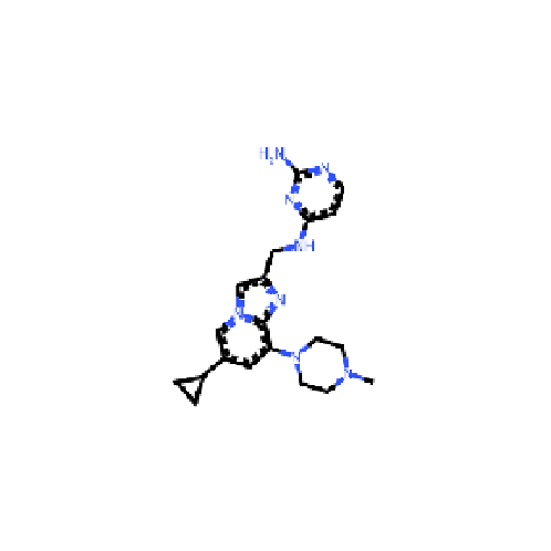 CN1CCN(c2cc(C3CC3)cn3cc(CNc4ccnc(N)n4)nc23)CC1